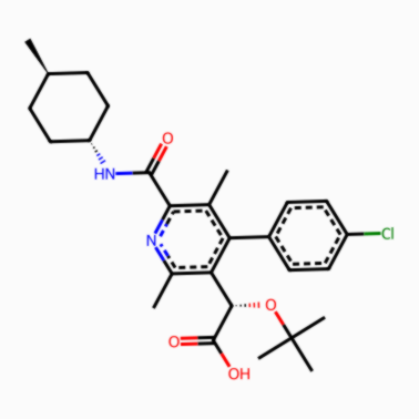 Cc1nc(C(=O)N[C@H]2CC[C@H](C)CC2)c(C)c(-c2ccc(Cl)cc2)c1[C@H](OC(C)(C)C)C(=O)O